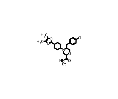 CCNC(=O)C1CN(C2CCC(c3nc(C)c(C)o3)CC2)C(Cc2ccc(Cl)cc2)CO1